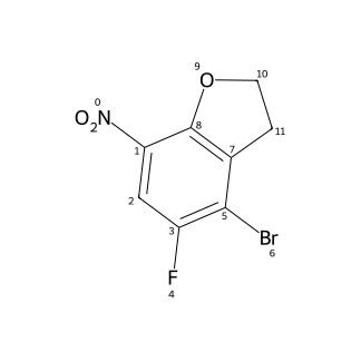 O=[N+]([O-])c1cc(F)c(Br)c2c1OCC2